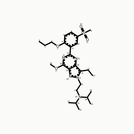 CCCOc1ccc(S(C)(=O)=O)cc1-c1nc(OC)c2nn(CCN(C(C)C)C(C)C)c(CC)c2n1